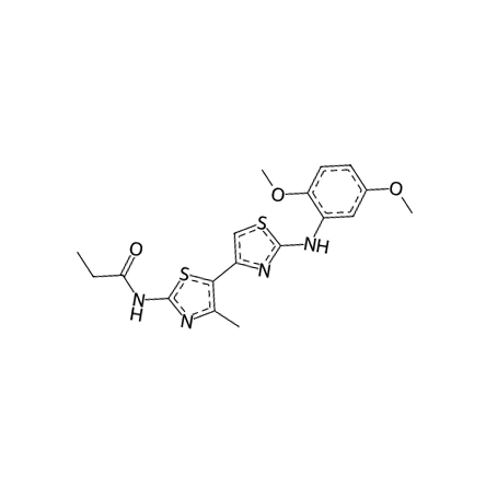 CCC(=O)Nc1nc(C)c(-c2csc(Nc3cc(OC)ccc3OC)n2)s1